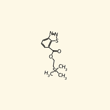 C[Si](C)(C)CCOC(=O)c1cccc2nnsc12